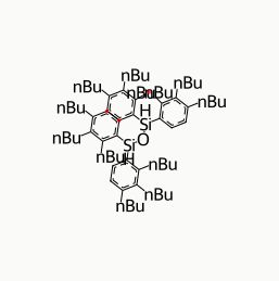 CCCCc1ccc([SiH](O[SiH](c2ccc(CCCC)c(CCCC)c2CCCC)c2ccc(CCCC)c(CCCC)c2CCCC)c2ccc(CCCC)c(CCCC)c2CCCC)c(CCCC)c1CCCC